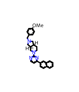 COc1ccc(CN2C[C@H]3CCN(c4nccc(-c5ccc6ccccc6c5)n4)C[C@H]3C2)cc1